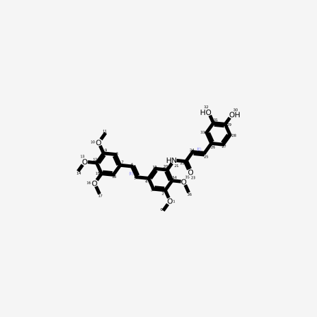 COc1cc(/C=C/c2cc(OC)c(OC)c(OC)c2)cc(NC(=O)/C=C/c2ccc(O)c(O)c2)c1OC